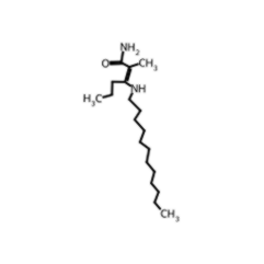 CCCCCCCCCCCCN/C(CCC)=C(\C)C(N)=O